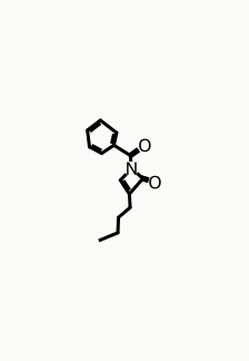 CCCCC1=CN(C(=O)c2ccccc2)C1=O